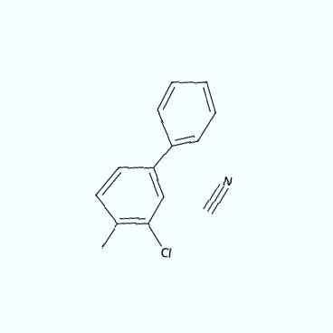 C#N.Cc1ccc(-c2ccccc2)cc1Cl